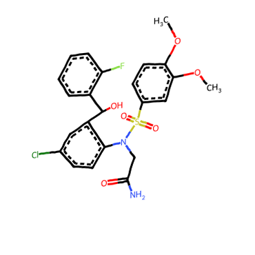 COc1ccc(S(=O)(=O)N(CC(N)=O)c2ccc(Cl)cc2C(O)c2ccccc2F)cc1OC